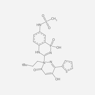 CC(C)(C)CC[N+]1(C2=NP(=O)(O)c3cc(NS(C)(=O)=O)ccc3N2)N=C(c2cccs2)C(O)=CC1=O